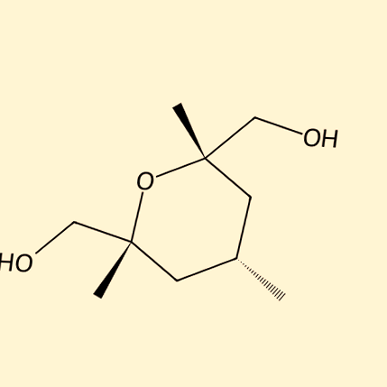 C[C@@H]1C[C@](C)(CO)O[C@](C)(CO)C1